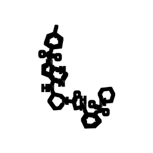 Cc1ccc(S(=O)(=O)n2ccc3c(NC4CCCN(C(=O)CNc5ccccc5S(=O)(=O)N5CCCCC5)C4)ncnc32)cc1